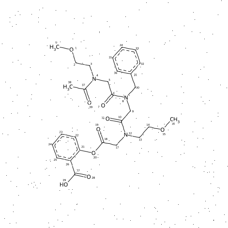 COCCN(CC(=O)N(CC(=O)N(CCOC)CC(=O)Oc1ccccc1C(=O)O)Cc1ccccc1)C(C)=O